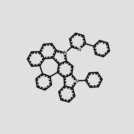 c1ccc(-c2cccc(-n3c4cc5c(c6c4c4c7c(cccc7ccc43)-c3ccccc3-6)c3ccccc3n5-c3ccccc3)n2)cc1